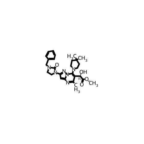 COC(=O)[C@@H](O)c1c(C)nc2cc(N3CCN(Cc4ccccc4)C3=O)nn2c1N1CCC(C)(C)CC1